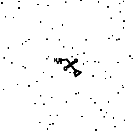 NCS(=O)(=O)C1CC1